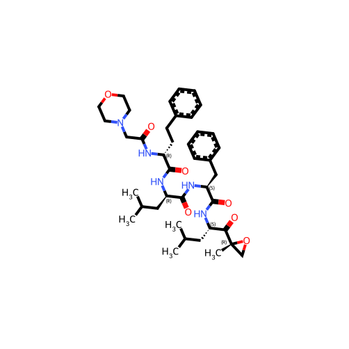 CC(C)C[C@H](NC(=O)[C@H](Cc1ccccc1)NC(=O)[C@@H](CC(C)C)NC(=O)[C@@H](CCc1ccccc1)NC(=O)CN1CCOCC1)C(=O)[C@@]1(C)CO1